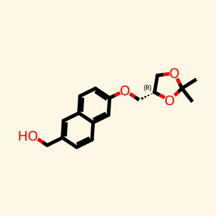 CC1(C)OC[C@@H](COc2ccc3cc(CO)ccc3c2)O1